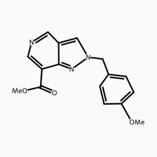 COC(=O)c1cncc2cn(Cc3ccc(OC)cc3)nc12